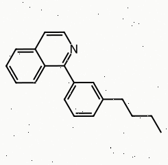 CCCCc1cccc(-c2nccc3ccccc23)c1